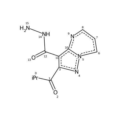 CC(C)C(=O)c1nn2cccnc2c1C(=O)NN